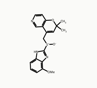 COc1cccc2[nH]c([S+]([O-])CC3=CC(C)(C)Oc4ccncc43)nc12